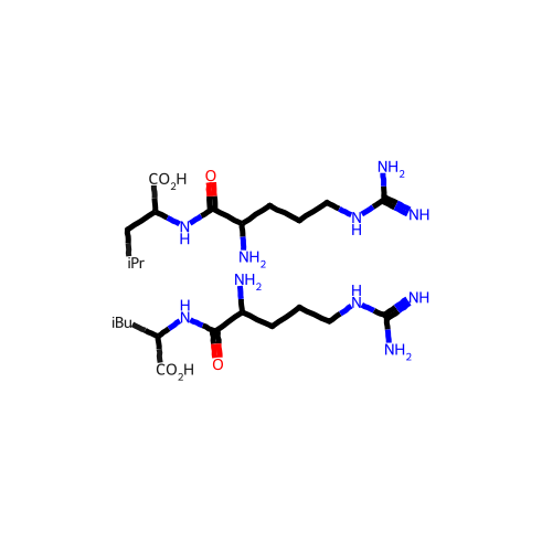 CC(C)CC(NC(=O)C(N)CCCNC(=N)N)C(=O)O.CCC(C)C(NC(=O)C(N)CCCNC(=N)N)C(=O)O